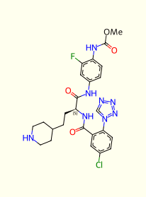 COC(=O)Nc1ccc(NC(=O)[C@H](CCC2CCNCC2)NC(=O)c2cc(Cl)ccc2-n2cnnn2)cc1F